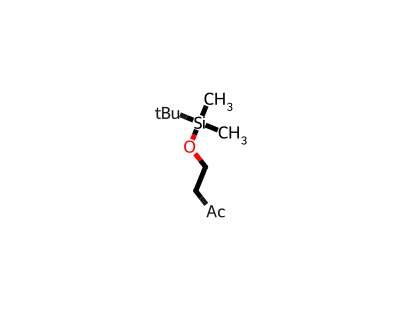 CC(=O)CCO[Si](C)(C)C(C)(C)C